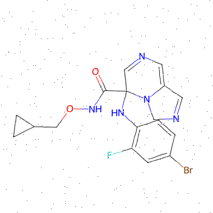 O=C(NOCC1CC1)C1(Nc2ccc(Br)cc2F)C=NC=C2C=NCN21